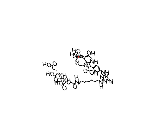 CN(C)C/C(O)=C\[C@@]12C=C(O)CNC(Cc3ccc(Nc4nc(NCCCCCCCCNC(=O)CC[C@H](NC(=O)N[C@@H](CCC(=O)O)C(=O)O)C(=O)O)nc(N(C)C)n4)cc3)C1(C)N(CC(=O)O)CCN(C)C/C(O)=C\2